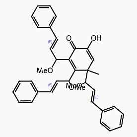 COC(/C=C/c1ccccc1)C1=C(C(/C=C/c2ccccc2)OC)C(C)(C(/C=C/c2ccccc2)OC)C=C(O)C1=O